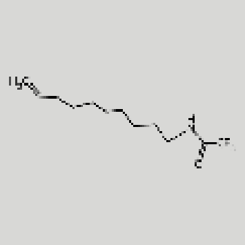 C=CCCCCCCCCNC(=O)C(F)(F)F